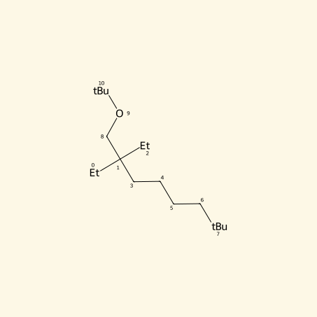 CCC(CC)(CCCCC(C)(C)C)COC(C)(C)C